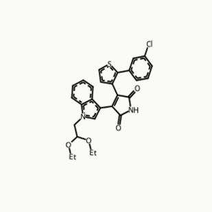 CCOC(Cn1cc(C2=C(c3ccsc3-c3cccc(Cl)c3)C(=O)NC2=O)c2ccccc21)OCC